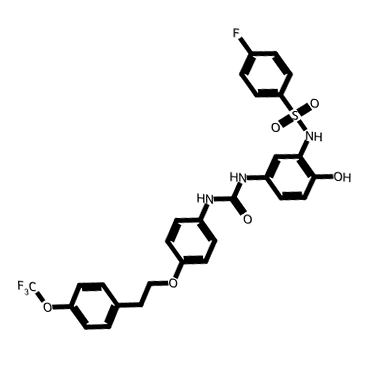 O=C(Nc1ccc(OCCc2ccc(OC(F)(F)F)cc2)cc1)Nc1ccc(O)c(NS(=O)(=O)c2ccc(F)cc2)c1